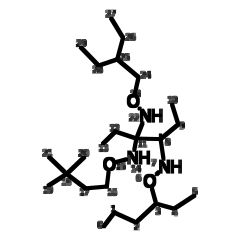 CCCC(CC)ON[C](CC)C(CC)(NOCCC(C)(C)C)NOCC(CC)CC